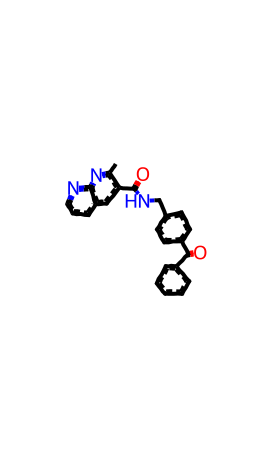 Cc1nc2ncccc2cc1C(=O)NCc1ccc(C(=O)c2ccccc2)cc1